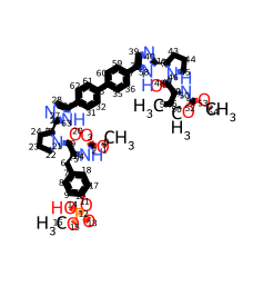 COC(=O)N[C@@H](Cc1ccc(OP(=O)(O)OC)cc1)C(=O)N1CCC[C@H]1c1ncc(-c2ccc(-c3ccc(-c4cnc([C@@H]5CCCN5C(=O)[C@@H](NC(=O)OC)C(C)C)[nH]4)cc3)cc2)[nH]1